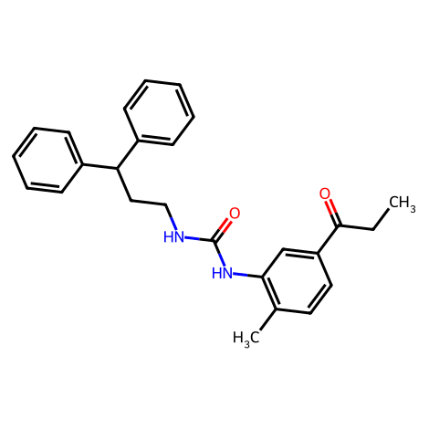 CCC(=O)c1ccc(C)c(NC(=O)NCCC(c2ccccc2)c2ccccc2)c1